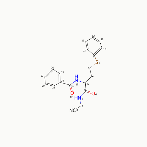 N#CCNC(=O)C(CCSc1ccccc1)NC(=O)c1ccccc1